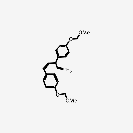 C=CC(/C=C\c1ccc(OCOC)cc1)c1ccc(OCOC)cc1